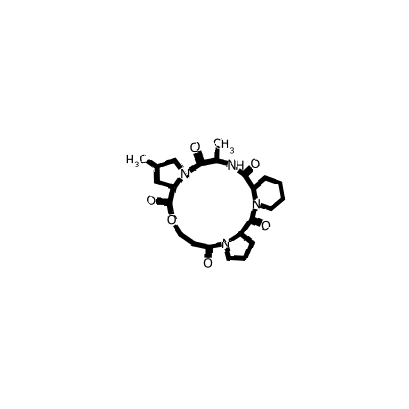 CC1CC2C(=O)OCCC(=O)N3CCCC3C(=O)N3CCCCC3C(=O)NC(C)C(=O)N2C1